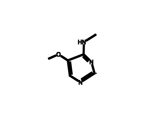 CNc1n[c]ncc1OC